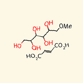 COCC(O)C(O)C(O)C(O)CO.O=C(O)/C=C/C(=O)O